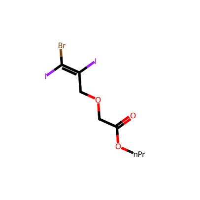 CCCOC(=O)COCC(I)=C(Br)I